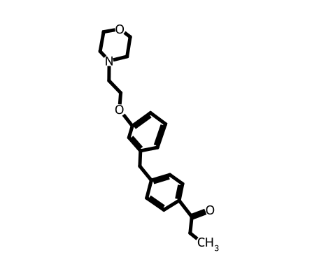 CCC(=O)c1ccc(Cc2cccc(OCCN3CCOCC3)c2)cc1